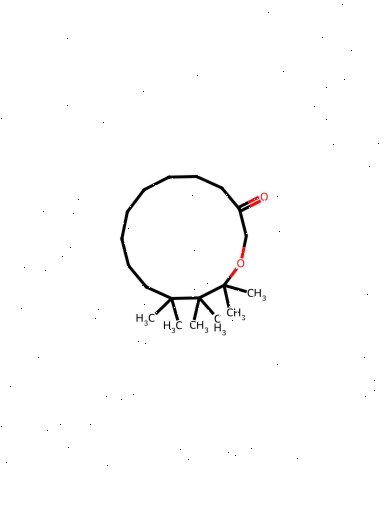 CC1(C)CCCCCCCCC(=O)COC(C)(C)C1(C)C